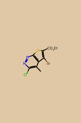 CCOC(=O)c1sc2nnc(Cl)c(C)c2c1Br